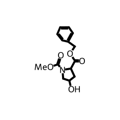 COC(=O)N1CC(O)CC1C(=O)OCc1ccccc1